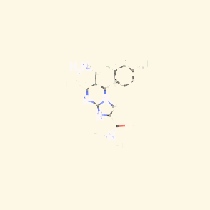 CCN(CC)C(=O)c1cn2c(-c3ccc(Cl)cc3Cl)c(CN)c(C)nc2n1